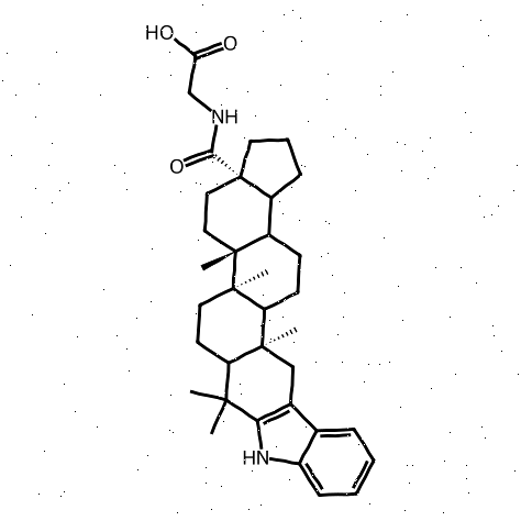 CC1(C)c2[nH]c3ccccc3c2C[C@@]2(C)C1CC[C@]1(C)C2CCC2C3CCC[C@]3(C(=O)NCC(=O)O)CC[C@]21C